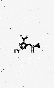 CC(C)n1cc(CNC2CC2)c(C(F)F)n1